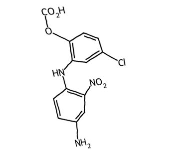 Nc1ccc(Nc2cc(Cl)ccc2OC(=O)O)c([N+](=O)[O-])c1